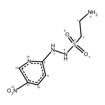 NCCS(=O)(=O)NNc1ccc([N+](=O)[O-])cn1